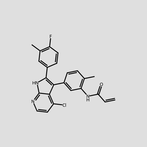 C=CC(=O)Nc1cc(-c2c(-c3ccc(F)c(C)c3)[nH]c3nccc(Cl)c23)ccc1C